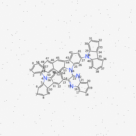 c1ccc(-n2c3ccccc3c3cc(-c4nc5ccccc5nc4-n4c5cc(-n6c7ccccc7c7ccccc76)ccc5c5cc6ccccc6cc54)ccc32)cc1